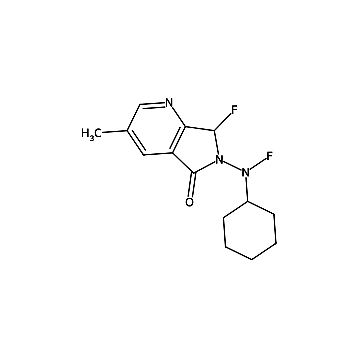 Cc1cnc2c(c1)C(=O)N(N(F)C1CCCCC1)C2F